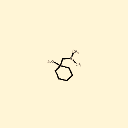 CB(C)CC1(OC(C)=O)CCCCC1